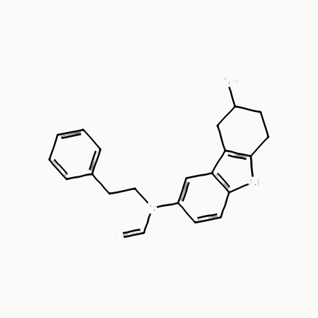 NC1CCc2[nH]c3ccc(N(C=O)CCc4ccccc4)cc3c2C1